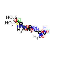 Cn1c(=O)n(C2CCC(=O)NC2=O)c2ccc(C#CCNC(=O)Nc3cccc(CS(=O)(=O)N4CC[C@H](Nc5cccc(-c6sc(C(=O)O)c(OCC(=O)O)c6Cl)c5)CC4(C)C)c3)cc21